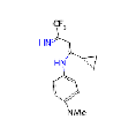 CNc1ccc(N/C(=C\C(=N)C(F)(F)F)C2CC2)cc1